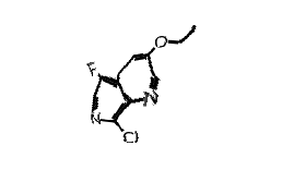 CCOc1cnc2c(Cl)ncc(F)c2c1